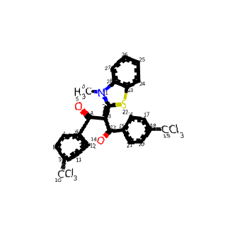 CN1C(=C(C(=O)c2ccc(C(Cl)(Cl)Cl)cc2)C(=O)c2ccc(C(Cl)(Cl)Cl)cc2)Sc2ccccc21